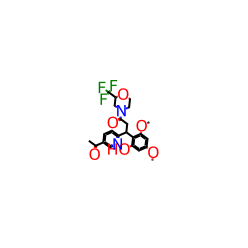 COc1cc(O)c(C(CC(=O)N2CCOC(C(F)(F)F)C2)c2ccc(C(C)=O)cn2)c(OC)c1